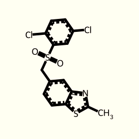 Cc1nc2cc(CS(=O)(=O)c3cc(Cl)ccc3Cl)ccc2s1